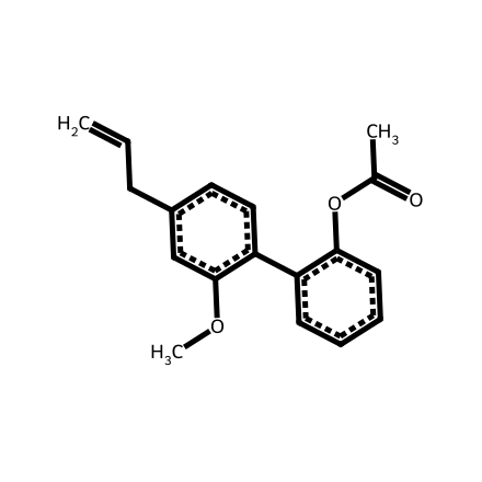 C=CCc1ccc(-c2ccccc2OC(C)=O)c(OC)c1